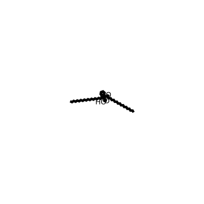 CCCCCCCCCCCCCCCCCCn1c(C(=O)O)c(C(=O)CCCCCCCCCCCCCCCCC)c2ccccc21